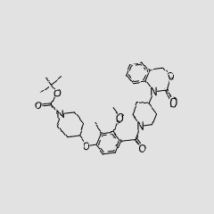 COc1c(C(=O)N2CCC(N3C(=O)OCc4ccccc43)CC2)ccc(OC2CCN(C(=O)OC(C)(C)C)CC2)c1C